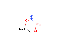 CCO.[NH3+][BH2-]O.[NaH]